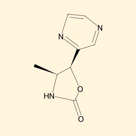 C[C@@H]1NC(=O)O[C@@H]1c1cnccn1